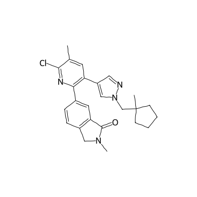 Cc1cc(-c2cnn(CC3(C)CCCC3)c2)c(-c2ccc3c(c2)C(=O)N(C)C3)nc1Cl